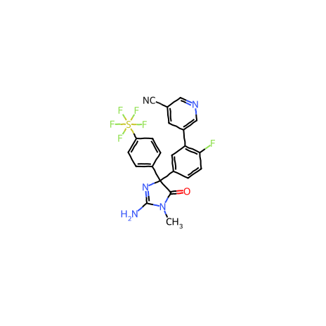 CN1C(=O)C(c2ccc(S(F)(F)(F)(F)F)cc2)(c2ccc(F)c(-c3cncc(C#N)c3)c2)N=C1N